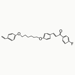 C=Cc1ccc(OCCCCCCOc2ccc(/C=C/C(=O)c3ccc(F)cc3)cc2)cc1